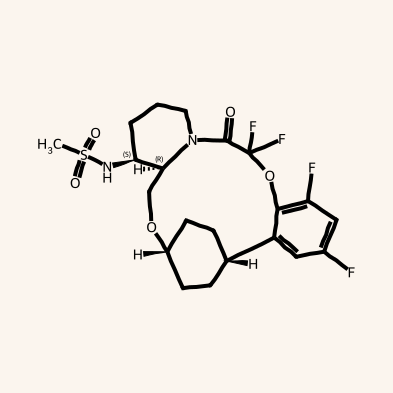 CS(=O)(=O)N[C@H]1CCCN2C(=O)C(F)(F)Oc3c(F)cc(F)cc3[C@H]3CC[C@H](CC3)OC[C@@H]12